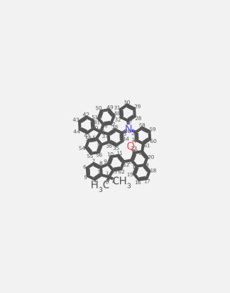 CC1(C)c2ccccc2-c2ccc(-c3c4ccccc4cc4c3oc3c(N(c5ccccc5)c5ccc6c(c5)C(c5ccccc5)(c5ccccc5)c5ccccc5-6)cccc34)cc21